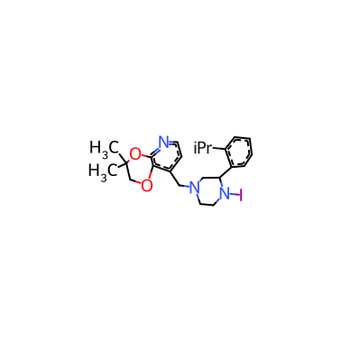 CC(C)c1ccccc1C1CN(Cc2ccnc3c2OCC(C)(C)O3)CCN1I